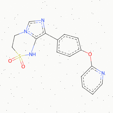 O=S1(=O)CCn2cnc(-c3ccc(Oc4ccccn4)cc3)c2N1